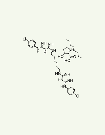 CCCCCCCC.N=C(NCCCCCCNC(=N)NC(=N)Nc1ccc(Cl)cc1)NC(=N)Nc1ccc(Cl)cc1.O=C(O)[C@H]1NCCC1O